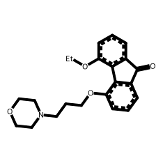 CCOc1cccc2c1-c1c(OCCCN3CCOCC3)cccc1C2=O